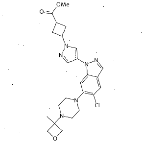 COC(=O)C1CC(n2cc(-n3ncc4cc(Cl)c(N5CCN(C6(C)COC6)CC5)cc43)cn2)C1